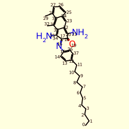 CCCCCCCCCCCCc1ccc(N=C2C(=O)C(N)=c3cc4cccc(C)c4c(C)c3=C2N)cc1